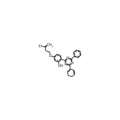 C=C(CC)CCOc1ccc(-c2nc(C3=CCCC=C3)nc(-c3ccccc3)n2)c(O)c1